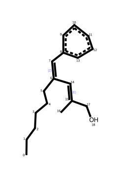 CCCCCCC(=C/c1ccccc1)/C=C(\C)CO